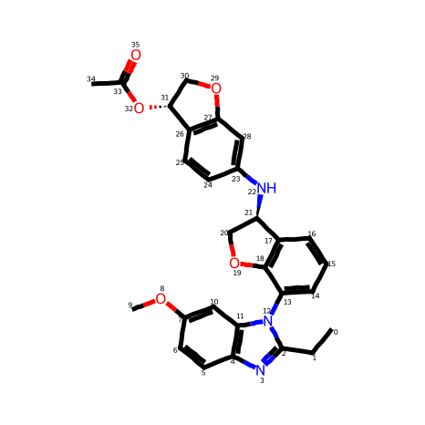 CCc1nc2ccc(OC)cc2n1-c1cccc2c1OC[C@H]2Nc1ccc2c(c1)OC[C@H]2OC(C)=O